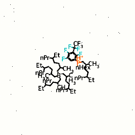 CCCC(CC)CCC(C)C[B-](CC(C)CCC(CC)CCC)(CC(C)CCC(CC)CCC)CC(C)CCC(CC)CCC.CCCCCC[PH+](CC(C)CCC(CC)CCC)c1cc(F)c(F)c(C(F)(F)C(F)(F)F)c1F